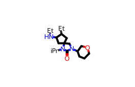 CCNC1CC2(CC1CC)CN(C1CCCOC1)C(=O)N2C(C)C